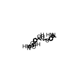 Cc1n[nH]c2cc(OCCNCC(O)c3cccc(NS(=O)(=O)c4cn[nH]c4)c3)ccc12